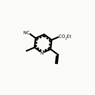 C=Cc1nc(C)c(C#N)cc1C(=O)OCC